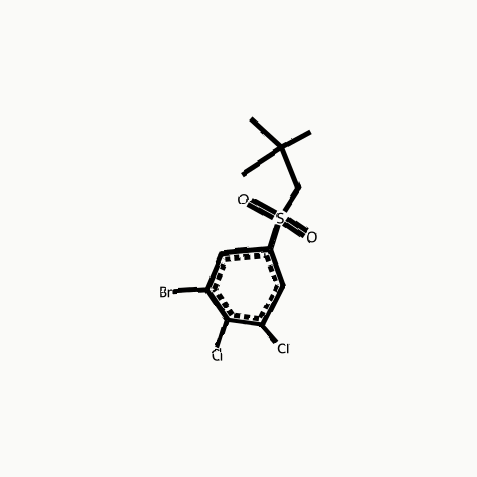 CC(C)(C)CS(=O)(=O)c1cc(Cl)c(Cl)c(Br)c1